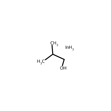 CC(C)CO.[InH3]